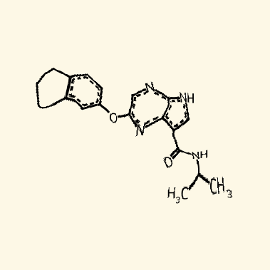 CC(C)NC(=O)c1c[nH]c2ncc(Oc3ccc4c(c3)CCC4)nc12